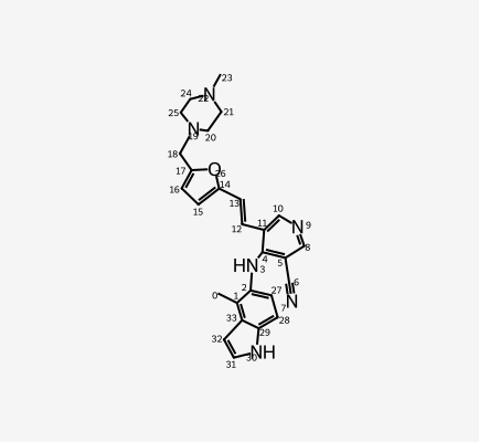 Cc1c(Nc2c(C#N)cncc2C=Cc2ccc(CN3CCN(C)CC3)o2)ccc2[nH]ccc12